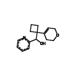 OC(c1ccccn1)C1(C2=CCOCC2)CCC1